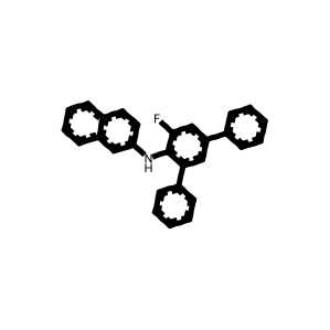 Fc1cc(-c2ccccc2)cc(-c2ccccc2)c1Nc1ccc2ccccc2c1